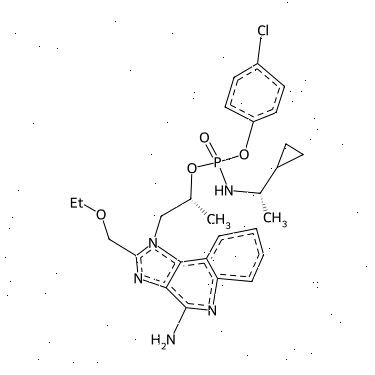 CCOCc1nc2c(N)nc3ccccc3c2n1C[C@@H](C)OP(=O)(N[C@@H](C)C1CC1)Oc1ccc(Cl)cc1